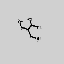 OCC(CO)C(Cl)Cl